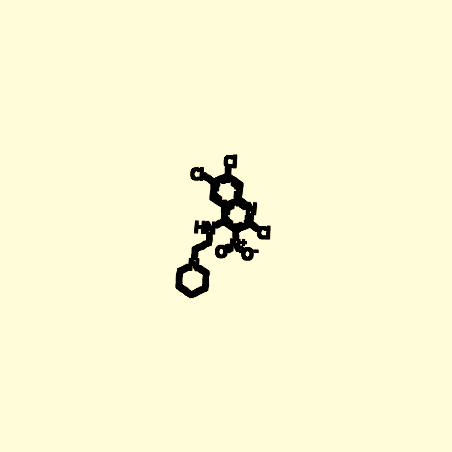 O=[N+]([O-])c1c(Cl)nc2cc(Cl)c(Cl)cc2c1NCCN1CCCCC1